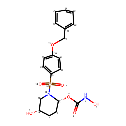 O=C(NO)O[C@@H]1CC[C@H](O)CN1S(=O)(=O)c1ccc(OCc2ccccc2)cc1